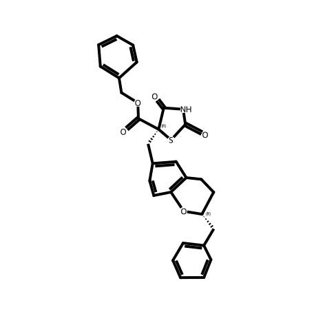 O=C1NC(=O)[C@](Cc2ccc3c(c2)CC[C@H](Cc2ccccc2)O3)(C(=O)OCc2ccccc2)S1